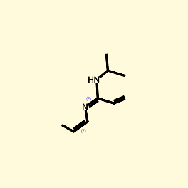 C=C/C(=N\C=C/C)NC(C)C